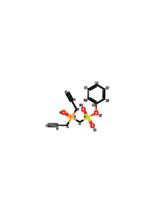 C#CCP(=O)(CC#C)CS(=O)(=O)Oc1ccccc1